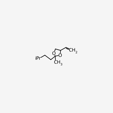 C=CC1COC(C)(CCC(C)C)O1